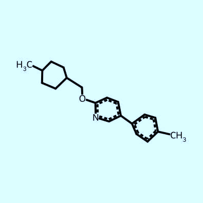 Cc1ccc(-c2ccc(OCC3CCC(C)CC3)nc2)cc1